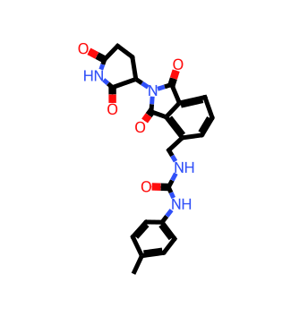 Cc1ccc(NC(=O)NCc2cccc3c2C(=O)N(C2CCC(=O)NC2=O)C3=O)cc1